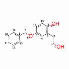 OCCc1cc(OCc2ccccc2)ccc1O